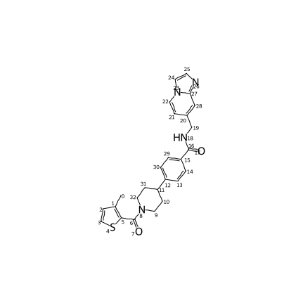 Cc1ccsc1C(=O)N1CCC(c2ccc(C(=O)NCc3ccn4ccnc4c3)cc2)CC1